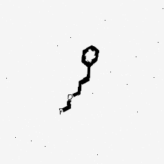 FCOC/C=C/c1ccccc1